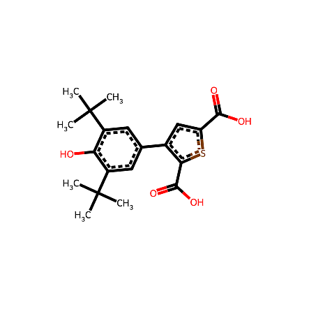 CC(C)(C)c1cc(-c2cc(C(=O)O)sc2C(=O)O)cc(C(C)(C)C)c1O